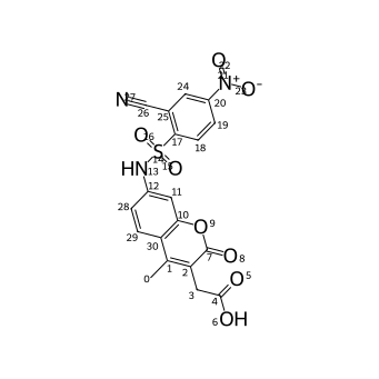 Cc1c(CC(=O)O)c(=O)oc2cc(NS(=O)(=O)c3ccc([N+](=O)[O-])cc3C#N)ccc12